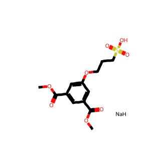 COC(=O)c1cc(OCCCS(=O)(=O)O)cc(C(=O)OC)c1.[NaH]